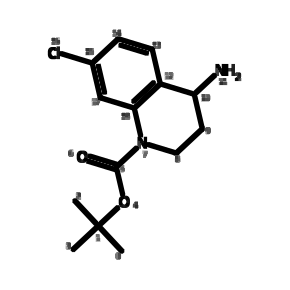 CC(C)(C)OC(=O)N1CCC(N)c2ccc(Cl)cc21